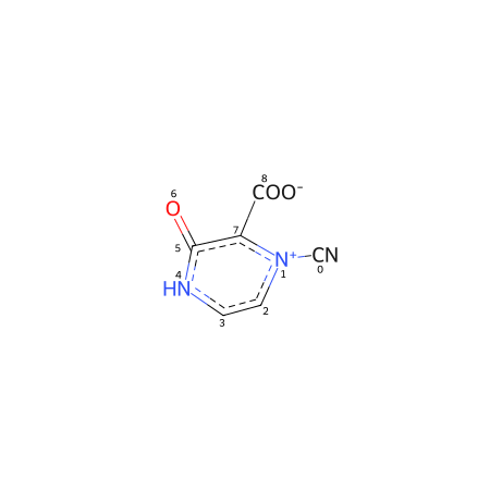 N#C[n+]1cc[nH]c(=O)c1C(=O)[O-]